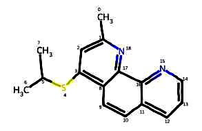 Cc1cc(SC(C)C)c2ccc3cccnc3c2n1